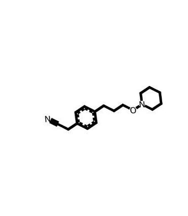 N#CCc1ccc(CCCON2CCCCC2)cc1